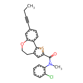 CCC#Cc1ccc2c(c1)OCCc1cc(C(=O)N(C)c3ccccc3Cl)sc1-2